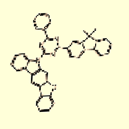 CC1(C)c2ccccc2-c2ccc(-c3nc(-c4ccccc4)nc(-n4c5ccccc5c5cc6c(cc54)oc4ccccc46)n3)cc21